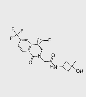 CC1(O)CC(NC(=O)CN2C[C@]3(C[C@H]3F)c3cc(C(F)(F)F)ccc3C2=O)C1